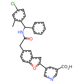 Cc1cc(Cl)ccc1C(NC(=O)Cc1ccc2oc(-c3cncc(C(=O)O)c3)cc2c1)c1ccccc1